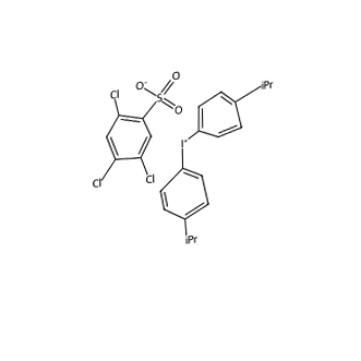 CC(C)c1ccc([I+]c2ccc(C(C)C)cc2)cc1.O=S(=O)([O-])c1cc(Cl)c(Cl)cc1Cl